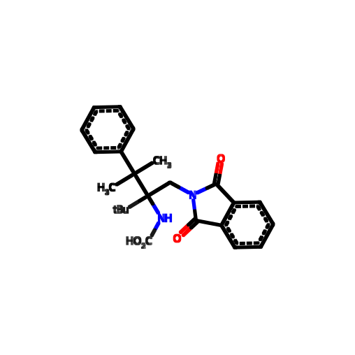 CC(C)(C)C(CN1C(=O)c2ccccc2C1=O)(NC(=O)O)C(C)(C)c1ccccc1